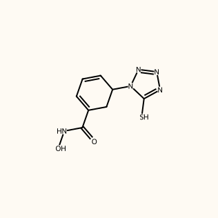 O=C(NO)C1=CC=CC(n2nnnc2S)C1